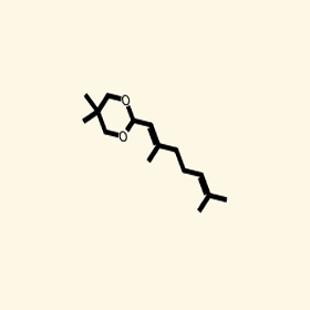 CC(C)=CCC/C(C)=C/C1OCC(C)(C)CO1